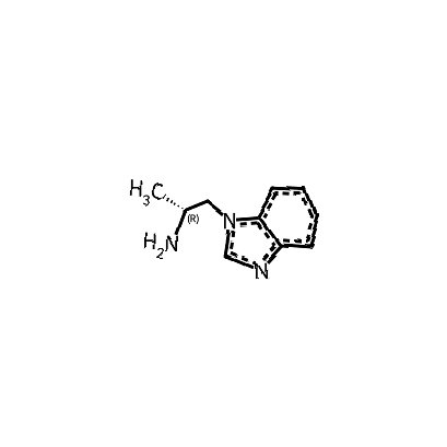 C[C@@H](N)Cn1cnc2ccccc21